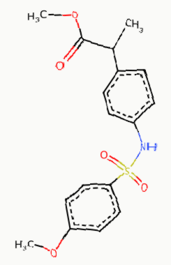 COC(=O)C(C)c1ccc(NS(=O)(=O)c2ccc(OC)cc2)cc1